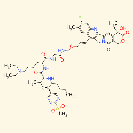 CCCCC(Cc1cnc(S(C)(=O)=O)nc1)N[C@H](C(=O)N[C@@H](CCCCN(CC)CC)C(=O)NCC(=O)NCOC/C=C/c1c2c(nc3cc(F)c(C)cc13)-c1cc3c(c(=O)n1C2)COC(=O)[C@]3(O)CC)C(C)C